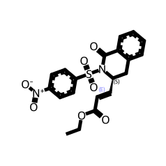 CCOC(=O)/C=C/[C@@H]1Cc2ccccc2C(=O)N1S(=O)(=O)c1ccc([N+](=O)[O-])cc1